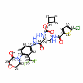 O=C(N[C@@H](CNC(=O)c1ccc(Cl)s1)C(=O)Nc1ccc(N2CCOCC2=O)c(C(F)F)c1)OC1CCC1